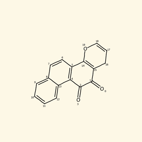 O=C1C(=O)c2c(ccc3ccccc23)C2=C1CC=CO2